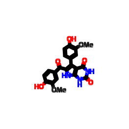 COc1cc(C(=O)c2[nH]c3[nH]c(=O)[nH]c(=O)c3c2-c2ccc(O)c(OC)c2)ccc1O